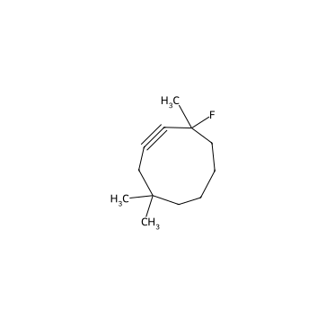 CC1(F)C#CCC(C)(C)CCCC1